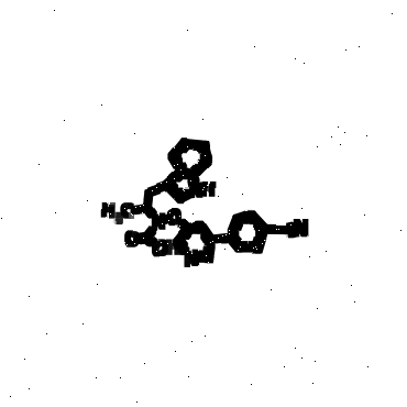 CC(Cc1c[nH]c2ccccc12)N(Oc1cncc(-c2ccc(C#N)cc2)c1)C(=O)O